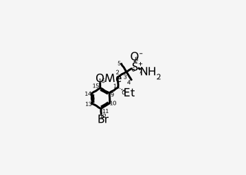 CC[C@@H](CC(C)(C)[S+](N)[O-])c1cc(Br)ccc1OC